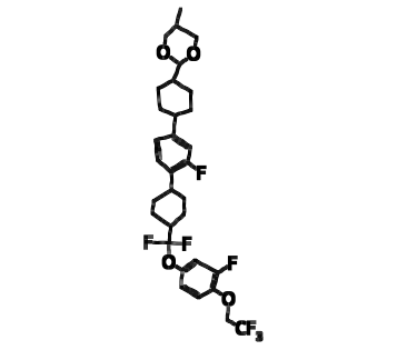 CC1COC(C2CCC(c3ccc(C4CCC(C(F)(F)Oc5ccc(OCC(F)(F)F)c(F)c5)CC4)c(F)c3)CC2)OC1